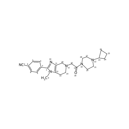 Cn1c(-c2ccc(C#N)cc2)nc2c1CCN(CC(=O)N1CCN(C3CCC3)CC1)C2